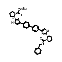 CC(C)(C)OC(=O)N1CCC[C@H]1c1nc(-c2ccc(-c3ccc(-c4c[nH]c([C@@H]5CCCN5C(=O)OCc5ccccc5)n4)cc3)cc2)c[nH]1